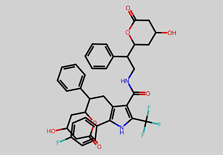 O=C1CC(O)CC(C(CNC(=O)c2c(C(F)(F)F)[nH]c(-c3ccc(F)cc3)c2CC(c2ccccc2)C2CC(O)CC(=O)O2)c2ccccc2)O1